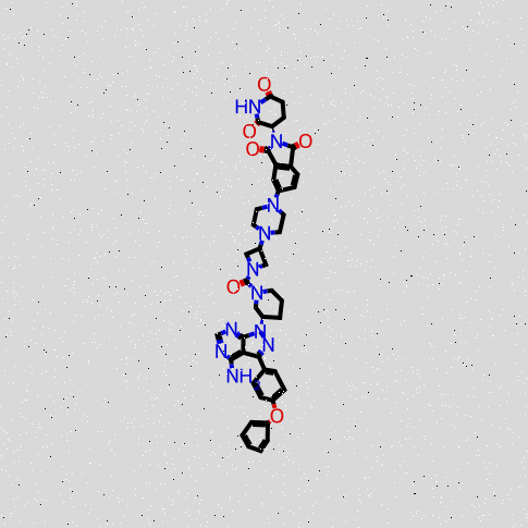 Nc1ncnc2c1c(-c1ccc(Oc3ccccc3)cc1)nn2[C@@H]1CCCN(C(=O)N2CC(N3CCN(c4ccc5c(c4)C(=O)N([C@H]4CCC(=O)NC4=O)C5=O)CC3)C2)C1